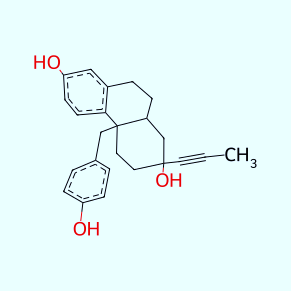 CC#CC1(O)CCC2(Cc3ccc(O)cc3)c3ccc(O)cc3CCC2C1